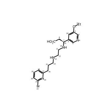 CCOc1cncc([C@H](CC(=O)O)NCCNCCCc2cccc(Br)n2)c1